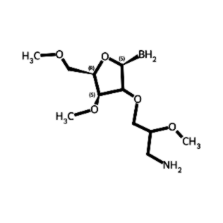 B[C@@H]1O[C@H](COC)[C@H](OC)C1OCC(CN)OC